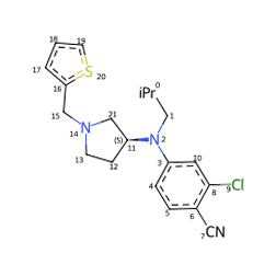 CC(C)CN(c1ccc(C#N)c(Cl)c1)[C@H]1CCN(Cc2cccs2)C1